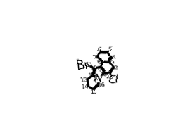 Clc1cc2ccccc2c2c(Br)c3ccccn3c12